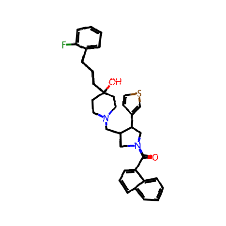 O=C(c1cccc2ccccc12)N1CC(CN2CCC(O)(CCCc3ccccc3F)CC2)C(c2ccsc2)C1